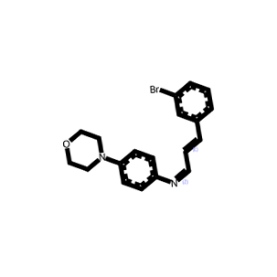 Brc1cccc(/C=C/C=N\c2ccc(N3CCOCC3)cc2)c1